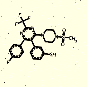 CS(=O)(=O)N1CCN(c2nc(C(F)(F)F)nc(-c3ccc(F)cc3)c2-c2cccc(S)c2)CC1